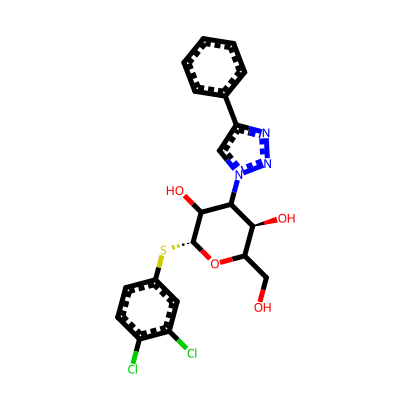 OCC1O[C@H](Sc2ccc(Cl)c(Cl)c2)C(O)C(n2cc(-c3ccccc3)nn2)[C@H]1O